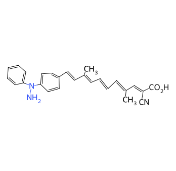 CC(/C=C/c1ccc(N(N)c2ccccc2)cc1)=C\C=C\C=C(C)\C=C(/C#N)C(=O)O